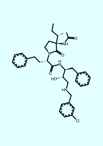 CC[C@H](C)[C@@]1(NC(C)=O)CCN([C@@H](CCc2ccccc2)C(=O)N[C@@H](Cc2ccccc2)[C@@H](O)CNCc2cccc(Cl)c2)C1=O